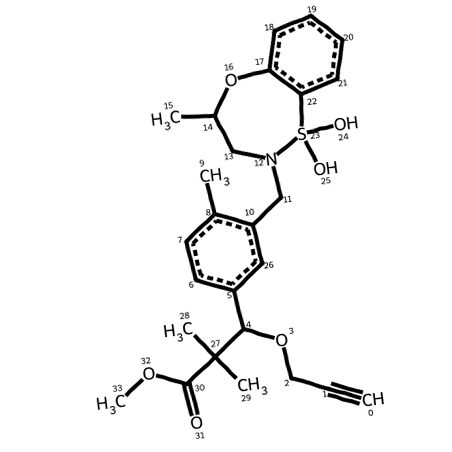 C#CCOC(c1ccc(C)c(CN2CC(C)Oc3ccccc3S2(O)O)c1)C(C)(C)C(=O)OC